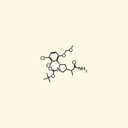 COCOc1ccc(Cl)c(Cl)c1[C@H]1CC(C(C)C(N)=O)CN1C(=O)OC(C)(C)C